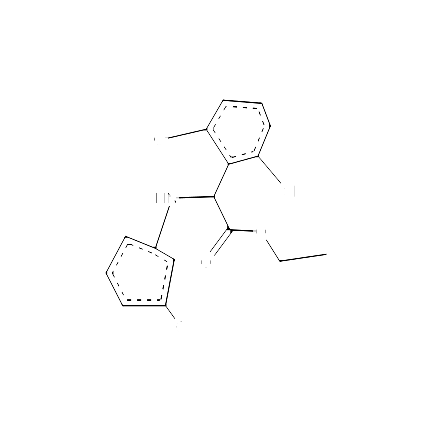 CCOC(=O)C(Nc1cccc(Cl)c1)c1c(Cl)cccc1Cl